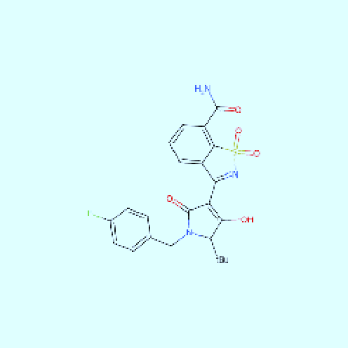 CC(C)(C)C1C(O)=C(C2=NS(=O)(=O)c3c(C(N)=O)cccc32)C(=O)N1Cc1ccc(F)cc1